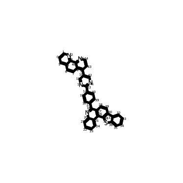 c1cnc2c(c1)ccc1c(-c3cnc(-c4ccc(-c5nc6ccccc6c6c5ccc5c7ccccc7sc56)cc4)nc3)ccnc12